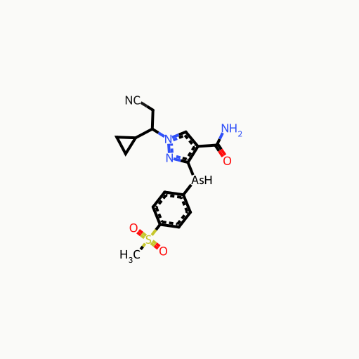 CS(=O)(=O)c1ccc([AsH]c2nn(C(CC#N)C3CC3)cc2C(N)=O)cc1